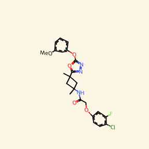 COc1cccc(Oc2nnc(C3(C)CC(C)(NC(=O)COc4ccc(Cl)c(F)c4)C3)o2)c1